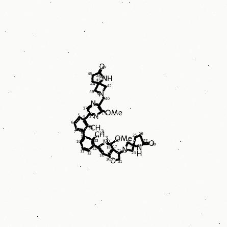 COc1nc(-c2cccc(-c3cccc(-c4cc5c(c(OC)n4)C(N4CC6(CCC(=O)N6)C4)CO5)c3C)c2C)cnc1CN1CC2(CCC(=O)N2)C1